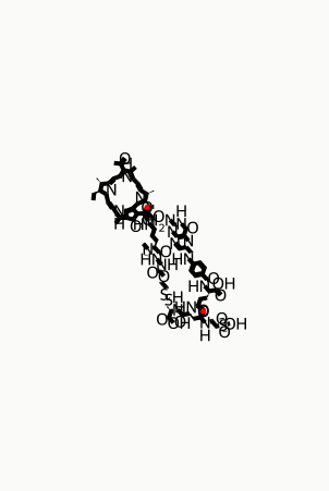 CC[C@@H]1c2cc3[nH]c4c(c3C)C(=O)C(C(=O)OC)c4c3nc(cc4[nH]c(cc(n2)[C@H]1C)c(C(C)=O)c4C)[C@H](C)[C@H]3CCC(=O)NCCC[C@@H](C(=O)NNC(=O)OCCSSC[C@H](NC(=O)[C@H](CC(=O)NCCS(=O)(=O)O)NC(=O)CC[C@H](NC(=O)c1ccc(NCc2cnc3nc(N)[nH]c(=O)c3n2)cc1)C(=O)O)C(=O)O)N(C)C